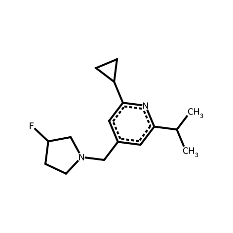 CC(C)c1cc(CN2CCC(F)C2)cc(C2CC2)n1